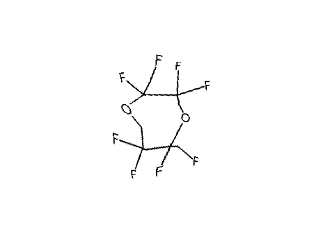 FC1(F)OC(F)(F)C(F)(F)OC1(F)F